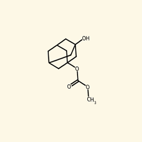 COC(=O)OC12CC3CC(CC(O)(C3)C1)C2